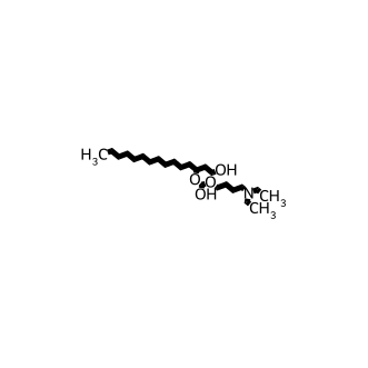 CCCCCCCCCCCCC(CCO)OC(O)OCCCCN(CC)CC